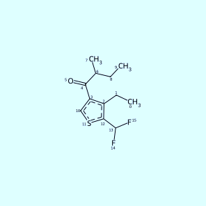 CCc1c(C(=O)C(C)CC)csc1C(F)F